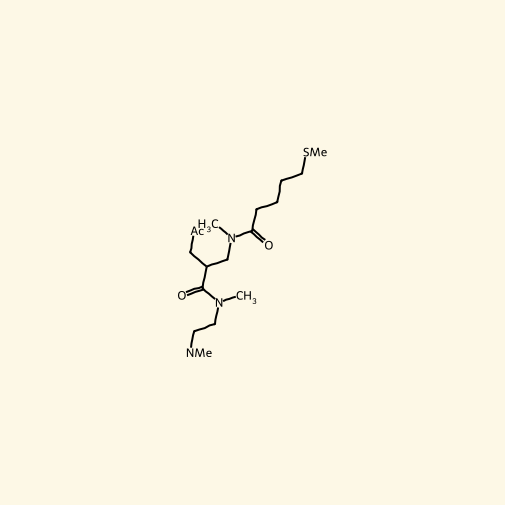 CNCCN(C)C(=O)C(CC(C)=O)CN(C)C(=O)CCCCSC